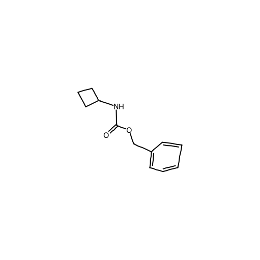 O=C(N[C]1CCC1)OCc1ccccc1